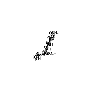 Cc1cccc(C(=O)NCCCCN(CC(=O)O)C(=O)CCNC(=O)CCNC(=O)CCNC(=O)c2cccc(C(N)=O)c2)c1